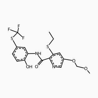 CCSc1cc(OCOC)cnc1C(=O)Nc1cc(SC(F)(F)F)ccc1O